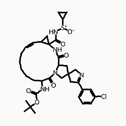 CC(C)(C)OC(=O)NC1CCCCC/C=C\C2CC2(C(=O)N[S+]([O-])C2CC2)NC(=O)C2CC3(CN=C(c4cccc(Cl)c4)C3)CN2C1=O